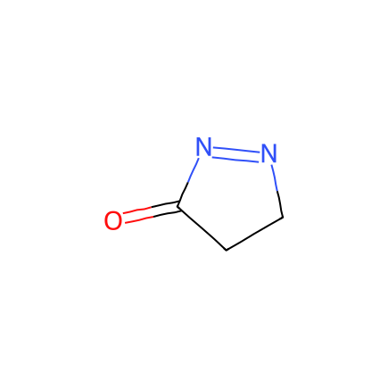 O=C1CCN=N1